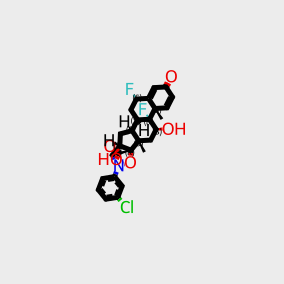 C[C@]12C=CC(=O)C=C1[C@@H](F)C[C@H]1[C@@H]3C[C@H]4CN(c5cccc(Cl)c5)O[C@@]4(C(=O)O)[C@@]3(C)C[C@H](O)[C@@]12F